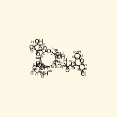 CC[C@H]1OC(=O)[C@H](C)[C@@H](O[C@H]2C[C@@](C)(OC)[C@@H](O)[C@H](C)O2)[C@H](C)[C@@H](O[C@@H]2O[C@H](C)C[C@H](NC)[C@H]2O)[C@](C)(O)C[C@@H](C)CN(CCCNC(=O)c2cc3c(s2)-c2cc(Cl)ccc2Oc2ccccc2-3)[C@H](C)[C@@H](O)[C@]1(C)O